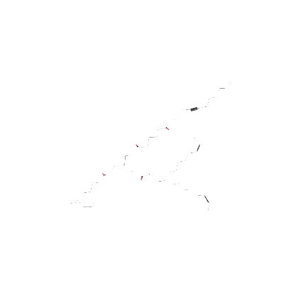 CC/C=C\CCCCOC(CCC(=O)OCC(COC(=O)CCCCC(=O)OCCC#CCCCCCC)COC(=O)OCC1CCCN(CC)C1)OCCCC/C=C\CC